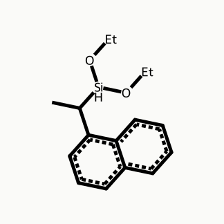 CCO[SiH](OCC)C(C)c1cccc2ccccc12